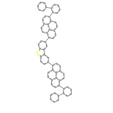 c1ccc(-c2ccccc2-c2ccc3ccc4c(-c5ccc6sc7ccc(-c8ccc9ccc%10c(-c%11ccccc%11-c%11ccccc%11)ccc%11ccc8c9c%11%10)cc7c6c5)ccc5ccc2c3c54)cc1